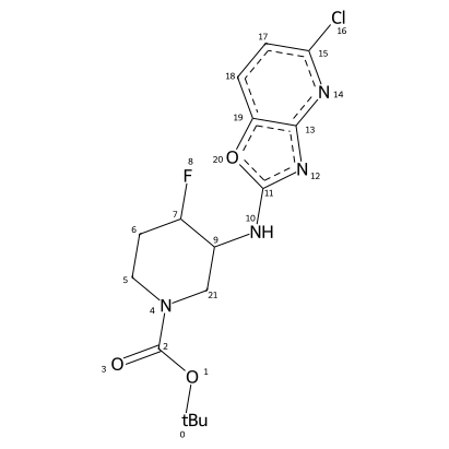 CC(C)(C)OC(=O)N1CCC(F)C(Nc2nc3nc(Cl)ccc3o2)C1